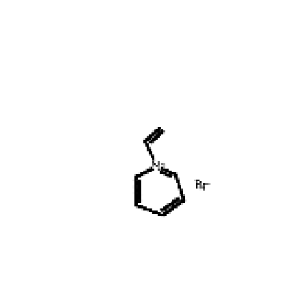 C=C[n+]1ccccc1.[Br-]